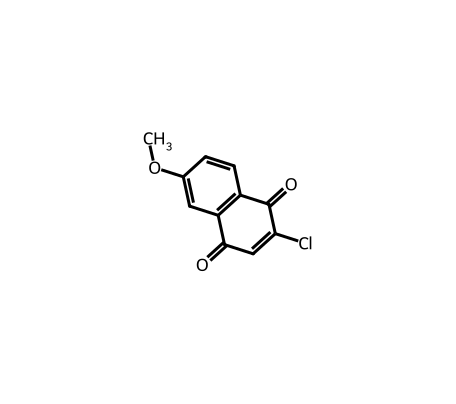 COc1ccc2c(c1)C(=O)C=C(Cl)C2=O